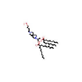 CCCCCCCCC(CCCCCCCC)C(=O)OCC(COC(=O)C(CCCCCCCC)CCCCCCCC)N1CCC2(CCN(CCCCO)CC2)CC1